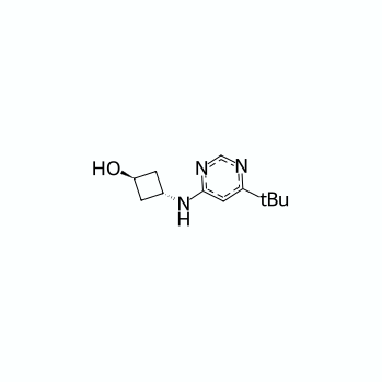 CC(C)(C)c1cc(N[C@H]2C[C@H](O)C2)ncn1